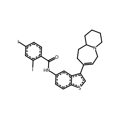 O=C(Nc1ccc2scc(C3=CCN4CCCCC4CC3)c2c1)c1ccc(I)cc1I